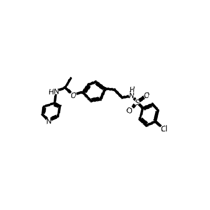 CC(Nc1ccncc1)Oc1ccc(CCNS(=O)(=O)c2ccc(Cl)cc2)cc1